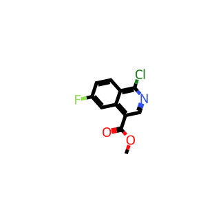 COC(=O)c1cnc(Cl)c2ccc(F)cc12